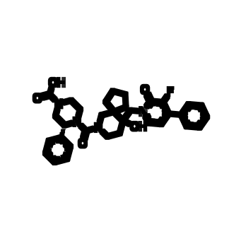 O=C(O)N1CCN(C(=O)N2CCC(O)(Cn3ccc(-c4ccccc4)c(F)c3=O)C3(CCCC3)C2)[C@H](c2ccccc2)C1